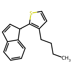 CCCCc1ccsc1[C]1C=Cc2ccccc21